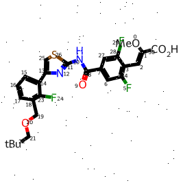 CO/C(=C\c1c(F)cc(C(=O)Nc2nc(-c3cccc(COCC(C)(C)C)c3F)cs2)cc1F)C(=O)O